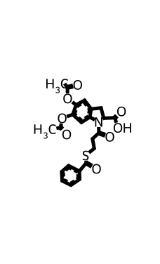 CC(=O)Oc1cc2c(cc1OC(C)=O)N(C(=O)CCSC(=O)c1ccccc1)C(C(=O)O)C2